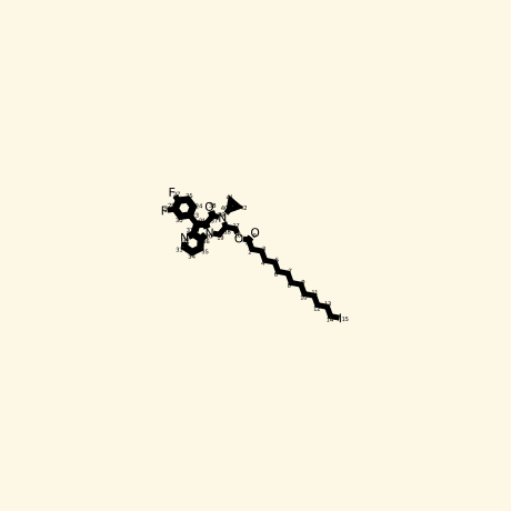 O=C(CCCCCCCCCCCCCI)OCC1Cn2c(c(-c3ccc(F)c(F)c3)c3ncccc32)C(=O)N1C1CC1